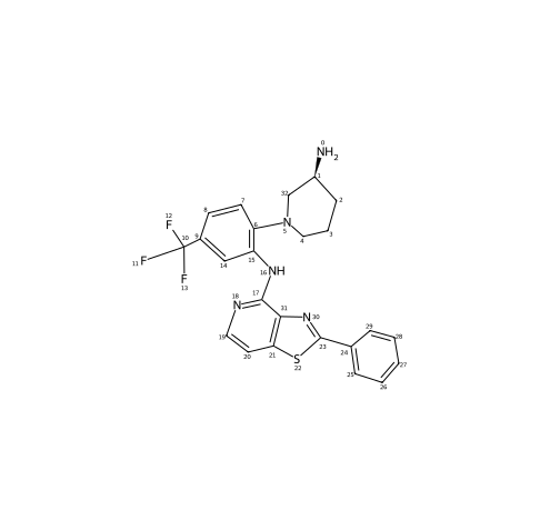 N[C@H]1CCCN(c2ccc(C(F)(F)F)cc2Nc2nccc3sc(-c4ccccc4)nc23)C1